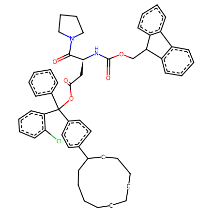 O=C(C[C@H](NC(=O)OCC1c2ccccc2-c2ccccc21)C(=O)N1CCCC1)OC(c1ccccc1)(c1ccc(C2CCCCCCCCCC2)cc1)c1ccccc1Cl